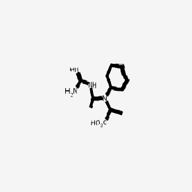 CC(NC(=N)N)N(C1CCCCC1)C(C)C(=O)O